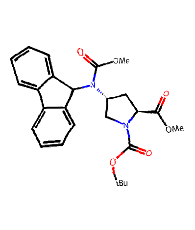 COC(=O)[C@@H]1C[C@@H](N(C(=O)OC)C2c3ccccc3-c3ccccc32)CN1C(=O)OC(C)(C)C